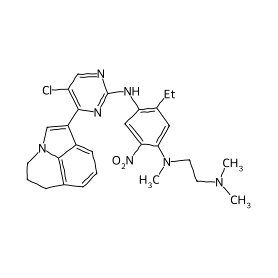 CCc1cc(N(C)CCN(C)C)c([N+](=O)[O-])cc1Nc1ncc(Cl)c(-c2cn3c4c(cccc24)CCC3)n1